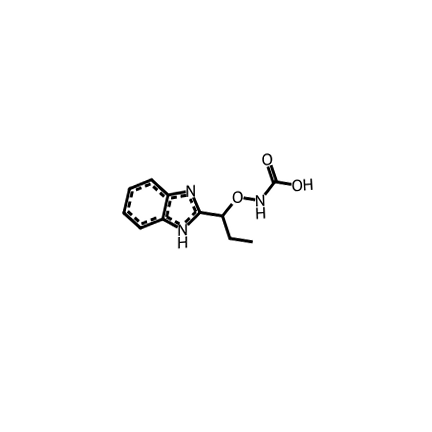 CCC(ONC(=O)O)c1nc2ccccc2[nH]1